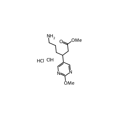 COC(=O)CC(CCCN)c1cnc(OC)nc1.Cl.Cl